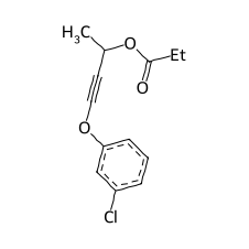 CCC(=O)OC(C)C#COc1cccc(Cl)c1